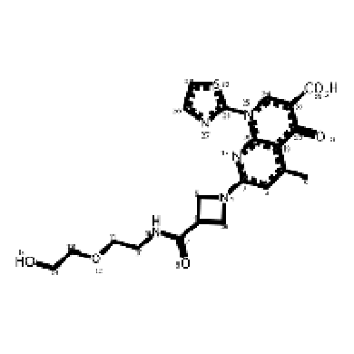 Cc1cc(N2CC(C(=O)NCCOCCO)C2)nc2c1c(=O)c(C(=O)O)cn2-c1nccs1